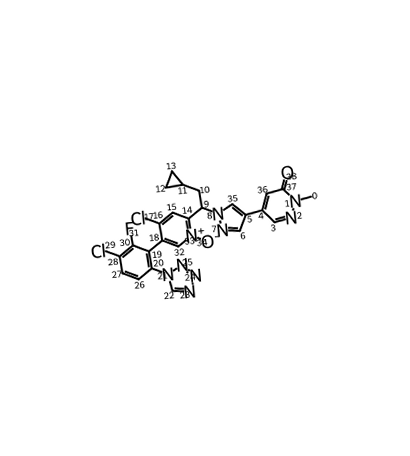 Cn1ncc(-c2cnn(C(CC3CC3)c3cc(Cl)c(-c4c(-n5cnnn5)ccc(Cl)c4F)c[n+]3[O-])c2)cc1=O